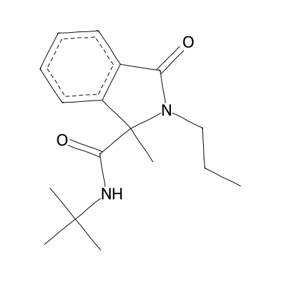 CCCN1C(=O)c2ccccc2C1(C)C(=O)NC(C)(C)C